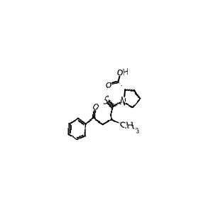 CC(CC(=O)c1ccccc1)C(=S)N1CCC[C@H]1C(=O)O